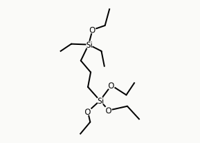 CCO[Si](CC)(CC)CCC[Si](OCC)(OCC)OCC